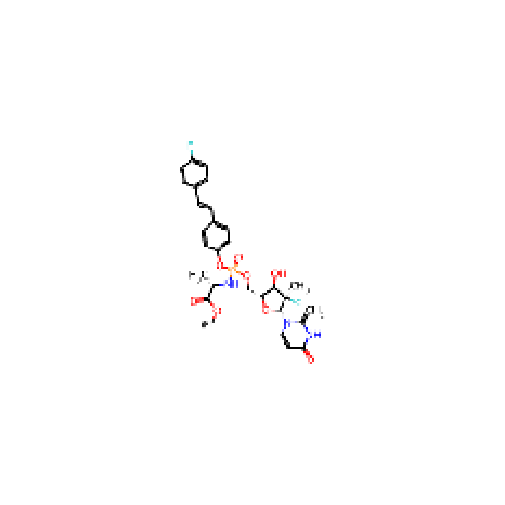 C=C1NC(=O)C=CN1[C@@H]1O[C@H](COP(=O)(N[C@@H](C)C(=O)OC(C)C)Oc2ccc(/C=C/c3ccc(F)cc3)cc2)[C@@H](O)[C@@]1(C)F